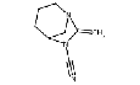 C=C1N2CCCC(C2)N1C#N